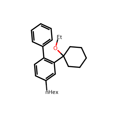 CCCCCCc1ccc(-c2ccccc2)c(C2(OCC)CCCCC2)c1